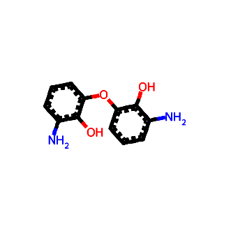 Nc1cccc(Oc2cccc(N)c2O)c1O